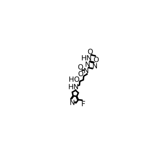 O=C1COc2ncc(N3CC(CC(O)CNC4Cc5cncc(CF)c5C4)OC3=O)nc2N1